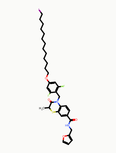 CC1Sc2cc(C(=O)NCc3ccco3)ccc2N(Cc2c(F)cc(OCCCCCCCCCCCCCI)cc2F)C1=O